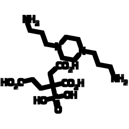 NCCCN1CCN(CCCN)CC1.O=C(O)CCC(CC(=O)O)(C(=O)O)P(=O)(O)O